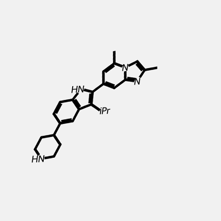 Cc1cn2c(C)cc(-c3[nH]c4ccc(C5CCNCC5)cc4c3C(C)C)cc2n1